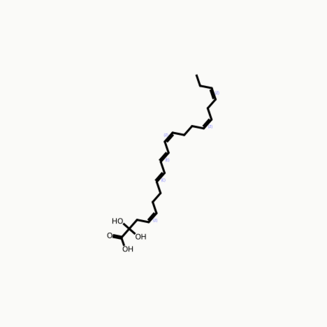 CC/C=C\C/C=C\CC\C=C/C=C/C=C/CC/C=C\CC(O)(O)C(=O)O